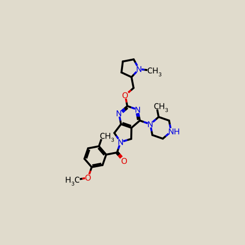 COc1ccc(C)c(C(=O)N2Cc3nc(OCC4CCCN4C)nc(N4CCNCC4C)c3C2)c1